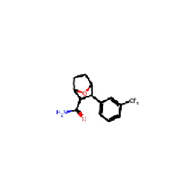 NC(=O)C1C2CCC(O2)C1c1cccc(C(F)(F)F)c1